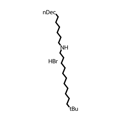 Br.CCCCCCCCCCCCCCCCNCCCCCCCCCCCC(C)(C)C